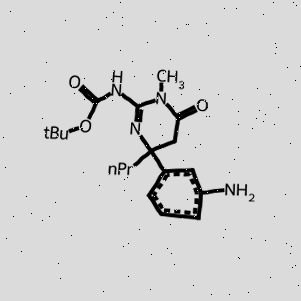 CCCC1(c2cccc(N)c2)CC(=O)N(C)C(NC(=O)OC(C)(C)C)=N1